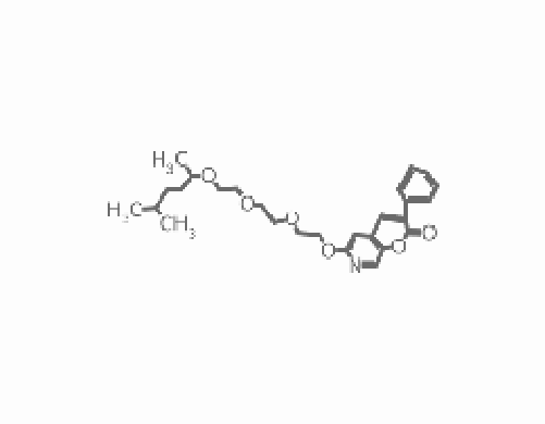 CC(C)CCC(C)OCCOCCOCCOc1cc2cc(-c3ccccc3)c(=O)oc2cn1